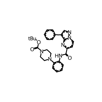 CC(C)(C)OC(=O)N1CCN(c2ccccc2NC(=O)c2ccn3ncc(-c4ccccc4)c3n2)CC1